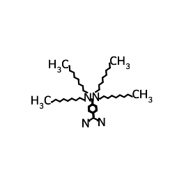 CCCCCCCCCCN(CCCCCCCCCC)C(=c1ccc(=C(C#N)C#N)cc1)N(CCCCCCCCCC)CCCCCCCCCC